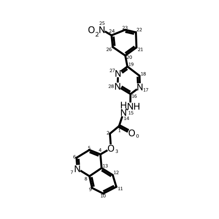 O=C(COc1ccnc2ccccc12)NNc1ncc(-c2cccc([N+](=O)[O-])c2)nn1